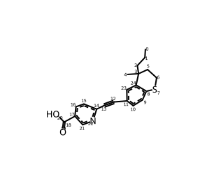 CCCC1(C)CCSc2ccc(C#Cc3ccc(C(=O)O)cn3)cc21